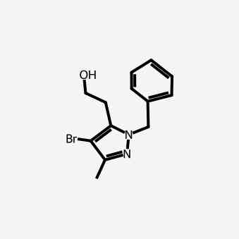 Cc1nn(Cc2ccccc2)c(CCO)c1Br